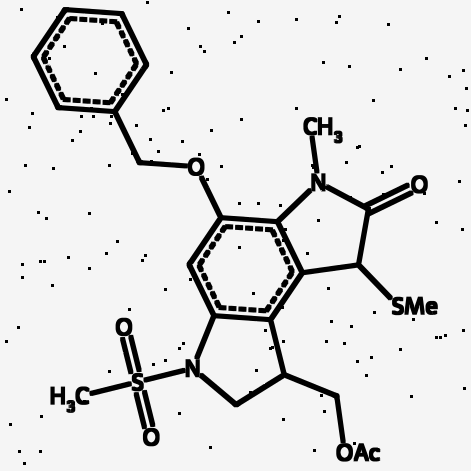 CSC1C(=O)N(C)c2c(OCc3ccccc3)cc3c(c21)C(COC(C)=O)CN3S(C)(=O)=O